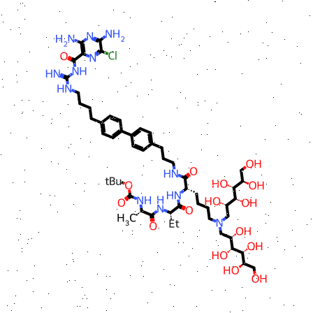 CC[C@H](NC(=O)[C@H](C)NC(=O)OC(C)(C)C)C(=O)N[C@@H](CCCCN(C[C@H](O)[C@@H](O)[C@H](O)[C@H](O)CO)C[C@H](O)[C@@H](O)[C@H](O)[C@H](O)CO)C(=O)NCCCc1ccc(-c2ccc(CCCCNC(=N)NC(=O)c3nc(Cl)c(N)nc3N)cc2)cc1